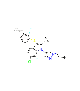 [2H]CCn1cc(-n2c(C3CC3)c(Sc3cccc(C(=O)OCC)c3F)c3ccc(Cl)c(F)c32)cn1